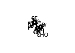 O=CC1NC2(CO1)CC(c1ncc(C(F)(F)F)cc1OC(F)F)c1c2ccc(Br)c1F